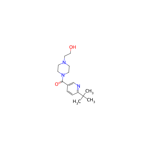 CC(C)(C)c1ccc(C(=O)N2CCN(CCO)CC2)cn1